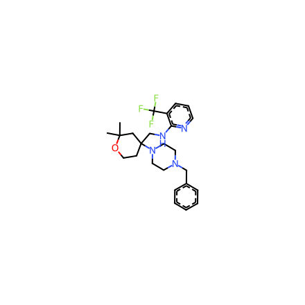 CC1(C)CC(CNc2ncccc2C(F)(F)F)(N2CCN(Cc3ccccc3)CC2)CCO1